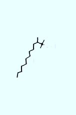 CCCCCCCCCCC(C)[C](C)(C)[SbH3+].[OH-]